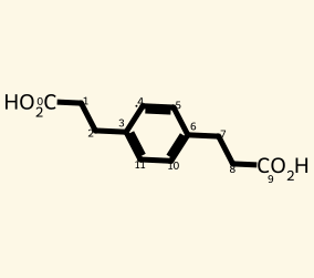 O=C(O)CCc1[c]cc(CCC(=O)O)cc1